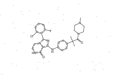 CN1CCN(C(=O)C(C)(C)c2ccc(Nc3nc(-c4c(F)cccc4Cl)n4cc[nH]c(=O)c34)cc2)CC1